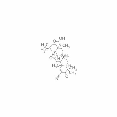 CN(C(=O)O)[C@]12CCC(C)(C)C[C@H]1[C@H]1C(=O)C=C3[C@@]4(C)C=C(C#N)C(=O)C(C)(C)[C@@H]4CC[C@@]3(C)[C@]1(C)CC2